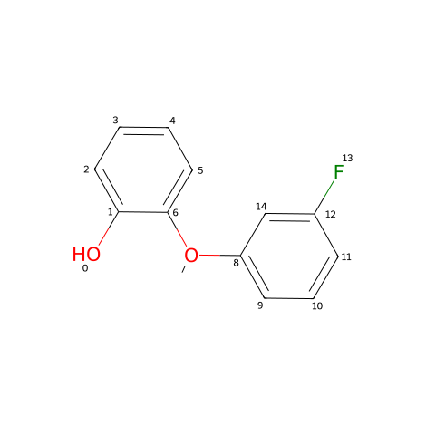 Oc1ccccc1Oc1cccc(F)c1